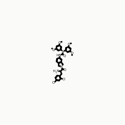 COc1cc(OC)cc(N(C(=O)Nc2ccc3c(c2)CN(C(=O)C(N)Cc2ccc(Cl)cc2Cl)C3)c2cc(OC)cc(OC)c2)c1